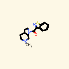 CN1CCC2CCN(C(=O)c3nsc4ccccc34)C2C1